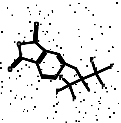 CC(Cc1ccc2c(c1)C(=O)OC2=O)(C(F)(F)F)C(F)(F)F